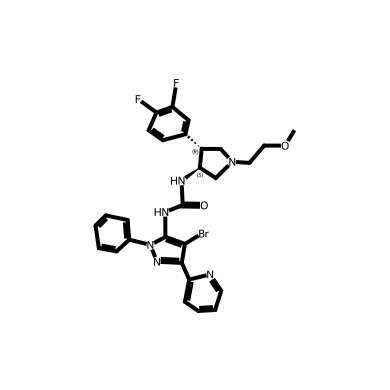 COCCN1C[C@@H](NC(=O)Nc2c(Br)c(-c3ccccn3)nn2-c2ccccc2)[C@H](c2ccc(F)c(F)c2)C1